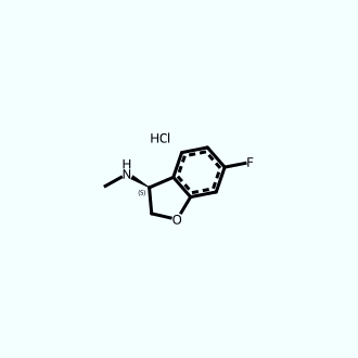 CN[C@@H]1COc2cc(F)ccc21.Cl